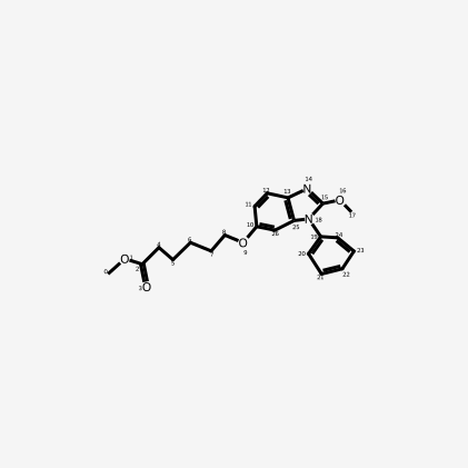 COC(=O)CCCCCOc1ccc2nc(OC)n(-c3ccccc3)c2c1